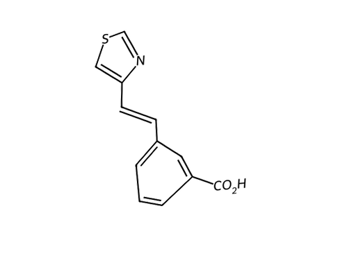 O=C(O)c1cccc(/C=C/c2cscn2)c1